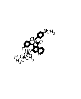 COc1ccc(CN2C(=O)c3c(c(NC(=O)OC(C)(C)C)cc4ncccc34)C2c2cc(F)ccc2Cl)cc1